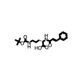 CC(C)(C)OC(=O)NCCC[C@H](NC(=O)/C=C/c1ccccc1)C(=O)O